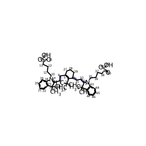 CC(C)(C)C1=C(/C=C/C2=[N+](CCCCS(=O)(=O)O)c3ccccc3C2(C)C)CCC/C1=C\C=C1\N(CCCCS(=O)(=O)O)c2ccccc2C1(C)C